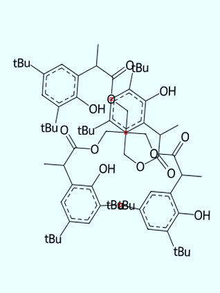 CC(C(=O)OCC(COC(=O)C(C)c1cc(C(C)(C)C)cc(C(C)(C)C)c1O)(COC(=O)C(C)c1cc(C(C)(C)C)cc(C(C)(C)C)c1O)COC(=O)C(C)c1cc(C(C)(C)C)cc(C(C)(C)C)c1O)c1cc(C(C)(C)C)cc(C(C)(C)C)c1O